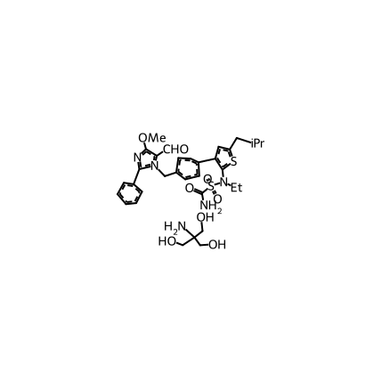 CCN(c1sc(CC(C)C)cc1-c1ccc(Cn2c(-c3ccccc3)nc(OC)c2C=O)cc1)S(=O)(=O)C(N)=O.NC(CO)(CO)CO